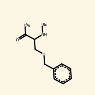 CC(C)(C)NC(COCc1ccccc1)C(=O)C(C)(C)C